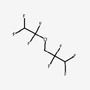 FC(F)C(F)(F)COC(F)(F)C(F)F